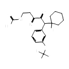 C[C@H](CC(=N)C(=O)C(c1cccc(OC(F)(F)F)c1)C1(O)CCCCC1)NC(=O)O